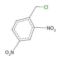 O=[N+]([O-])c1ccc(CCl)c([N+](=O)[O-])c1